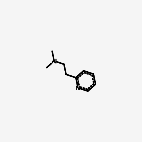 [CH3][Al]([CH3])[CH2]Cc1ccccn1